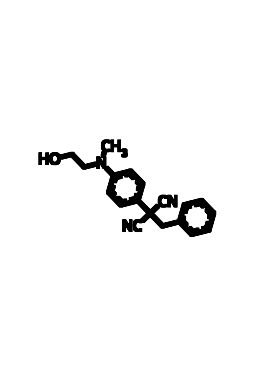 CN(CCO)c1ccc(C(C#N)(C#N)Cc2ccccc2)cc1